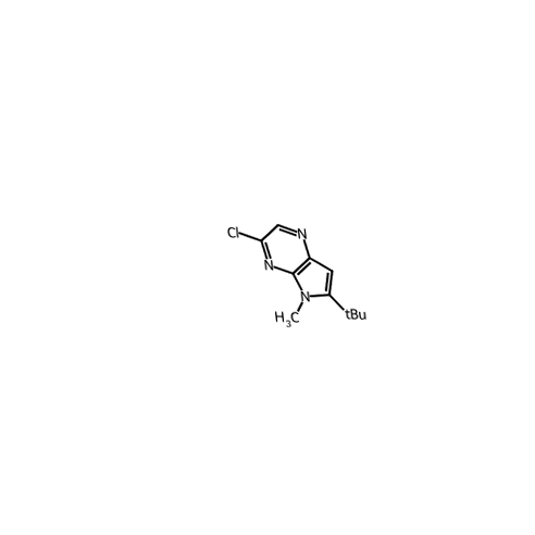 Cn1c(C(C)(C)C)cc2ncc(Cl)nc21